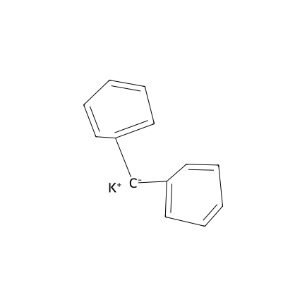 [K+].c1ccc([CH-]c2ccccc2)cc1